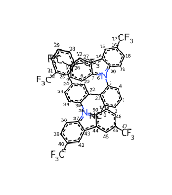 N#Cc1cccc(-n2c3ccc(C(F)(F)F)cc3c3cc(C(F)(F)F)ccc32)c1-c1cc(-c2c(C(F)(F)F)cccc2C(F)(F)F)ccc1-n1c2ccc(C(F)(F)F)cc2c2cc(C(F)(F)F)ccc21